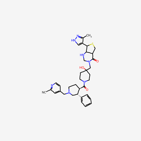 Cc1n[nH]cc1C1SCC2C(=O)N(CC3(O)CCN(C(=O)[C@@H]4CCN(Cc5ccnc(C#N)c5)C[C@H]4c4ccccc4)CC3)CNC21